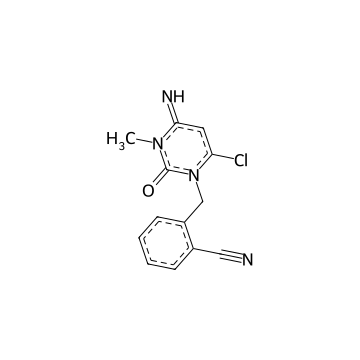 Cn1c(=N)cc(Cl)n(Cc2ccccc2C#N)c1=O